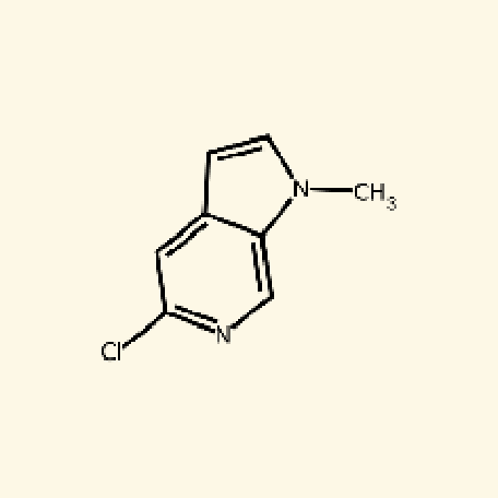 Cn1ccc2cc(Cl)ncc21